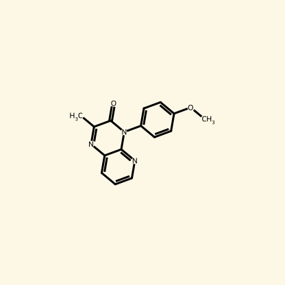 COc1ccc(-n2c(=O)c(C)nc3cccnc32)cc1